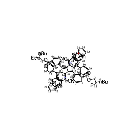 CCCCC(CC)COC(=O)c1cccc(-c2c3/c(=C(\C#N)c4nc5ccccc5s4)n(B(c4ccccc4)c4ccccc4)c(-c4cccc(C(=O)OCC(CC)CCCC)c4)c3/c(=C(\C#N)c3nc4ccccc4s3)n2B(c2ccccc2)c2ccccc2)c1